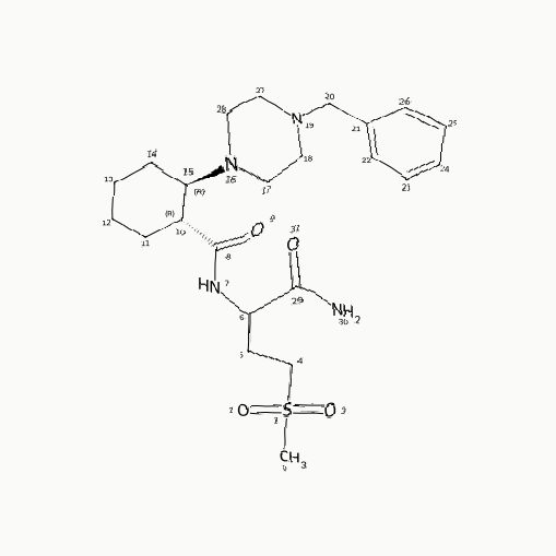 CS(=O)(=O)CCC(NC(=O)[C@@H]1CCCC[C@H]1N1CCN(Cc2ccccc2)CC1)C(N)=O